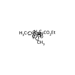 CCOC(=O)CN(C)S(=O)(=O)c1cc(C)cc(I)c1NS(=O)(=O)c1ccc(C)cc1